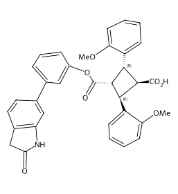 COc1ccccc1[C@@H]1[C@H](C(=O)O)[C@@H](c2ccccc2OC)[C@H]1C(=O)Oc1cccc(-c2ccc3c(c2)NC(=O)C3)c1